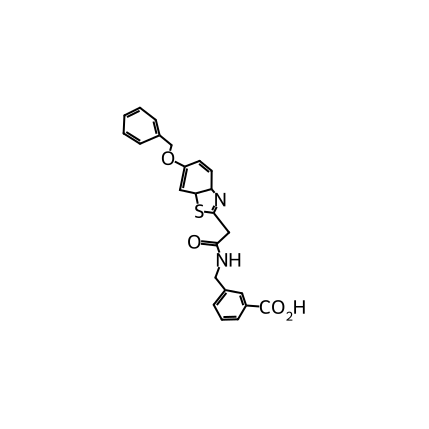 O=C(CC1=NC2C=CC(OCc3ccccc3)=CC2S1)NCc1cccc(C(=O)O)c1